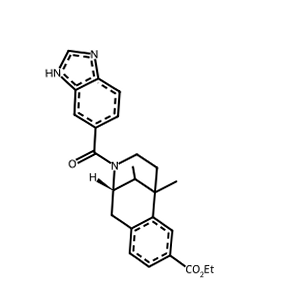 CCOC(=O)c1ccc2c(c1)C1(C)CCN(C(=O)c3ccc4nc[nH]c4c3)[C@@H](C2)C1C